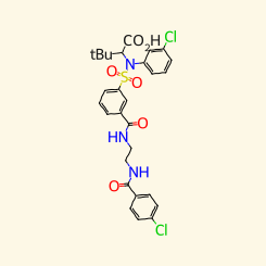 CC(C)(C)C(C(=O)O)N(c1cccc(Cl)c1)S(=O)(=O)c1cccc(C(=O)NCCNC(=O)c2ccc(Cl)cc2)c1